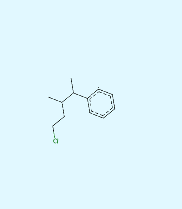 CC(CCCl)C(C)c1[c]cccc1